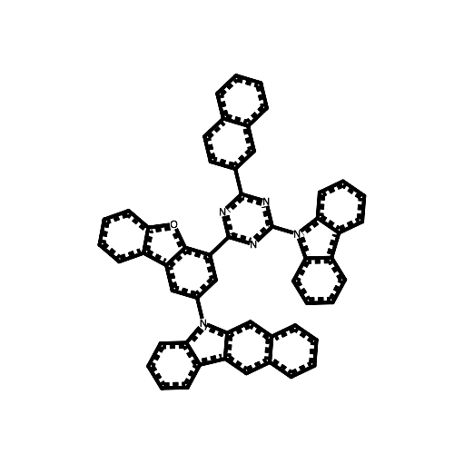 c1ccc2cc(-c3nc(-c4cc(-n5c6ccccc6c6cc7ccccc7cc65)cc5c4oc4ccccc45)nc(-n4c5ccccc5c5ccccc54)n3)ccc2c1